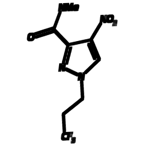 CNC(=O)c1nn(CCC(F)(F)F)cc1[N+](=O)[O-]